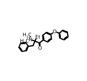 CCC(Cc1ccccc1)(C(=O)c1ccc(Oc2ccccc2)cc1)N(C)C